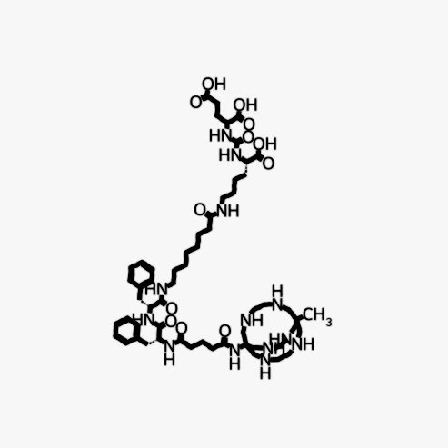 CC12CNCCNCC(NC(=O)CCCC(=O)N[C@H](Cc3ccccc3)C(=O)N[C@H](Cc3ccccc3)C(=O)NCCCCCCCC(=O)NCCCC[C@H](NC(=O)NC(CCC(=O)O)C(=O)O)C(=O)O)(CNCCNC1)CNCCNC2